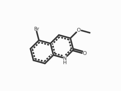 COc1cc2c(Br)cccc2[nH]c1=O